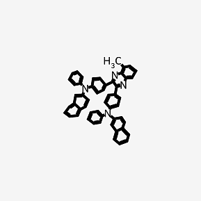 Cc1cccc2nc(-c3ccc(N(c4ccccc4)c4ccc5ccccc5c4)cc3)c(-c3ccc(N(c4ccccc4)c4ccc5ccccc5c4)cc3)nc12